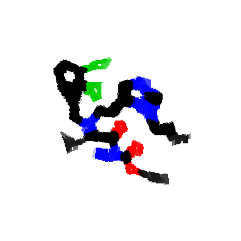 CC(C)CCn1cncc1CCN(Cc1cccc(Cl)c1Cl)[C@H](C(=O)NC(=O)OC(C)(C)C)C(C)C